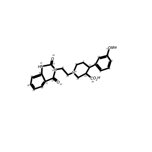 COc1cccc(C2CCN(CCn3c(=O)[nH]c4ccccc4c3=O)CC2C(=O)O)c1